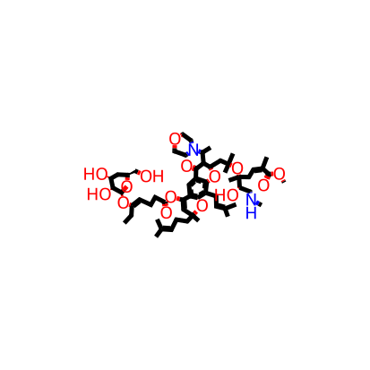 CC/C(=C\CCC(=O)OC1=CC(C)(CCC=C(C)C)Oc2c1cc1c(c2CC=C(C)C)OC(CC(C)(C)OC(C)(C/C=C(/C)C(=O)OC)C(O)CNC)C(C(C)N2CCOCC2)C1=O)O[C@@H]1O[C@H](CO)C[C@@H](O)[C@H]1O